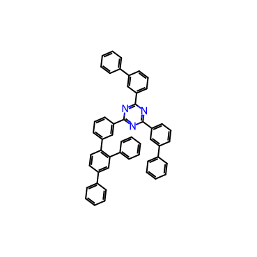 c1ccc(-c2cccc(-c3nc(-c4cccc(-c5ccccc5)c4)nc(-c4cccc(-c5ccc(-c6ccccc6)cc5-c5ccccc5)c4)n3)c2)cc1